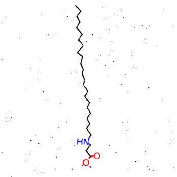 CCCCCCCCCCCCCCCCCCCCCCCCNCCC(=O)OC